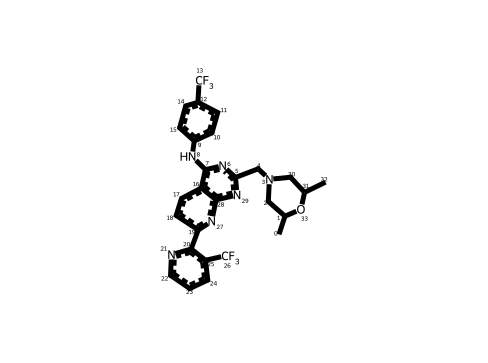 CC1CN(Cc2nc(Nc3ccc(C(F)(F)F)cc3)c3ccc(-c4ncccc4C(F)(F)F)nc3n2)CC(C)O1